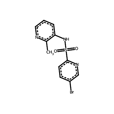 Cc1ncccc1NS(=O)(=O)c1ccc(Br)cn1